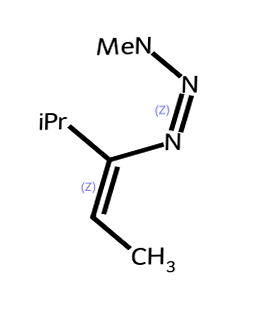 C/C=C(\N=N/NC)C(C)C